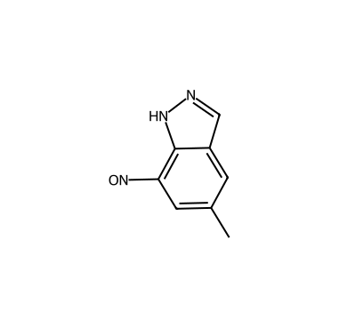 Cc1cc(N=O)c2[nH]ncc2c1